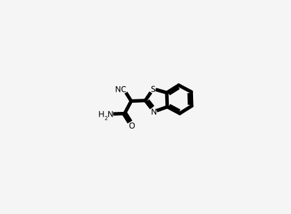 N#CC(C(N)=O)c1nc2ccccc2s1